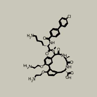 C[C@@H]1NC(=O)C(N(C)C(=O)[C@H](CCCCN)NC(=O)c2ccc(-c3ccc(Cl)cc3)cc2)c2ccc(OCCN)c(c2)-c2cc(ccc2OCCN)C[C@@H](C(=O)O)NC1=O